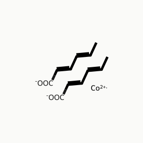 C/C=C/C=C/C(=O)[O-].C/C=C/C=C/C(=O)[O-].[Co+2]